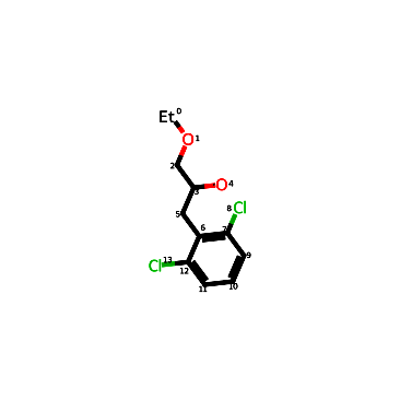 CCOCC([O])Cc1c(Cl)cccc1Cl